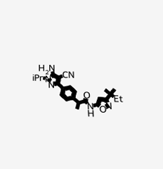 CCC(C)(C)c1cc(NC(=O)C(C)c2ccc(-c3nn(C(C)C)c(N)c3C#N)cc2)on1